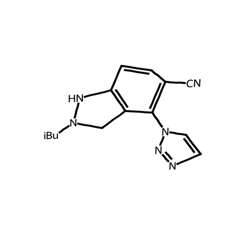 CCC(C)N1Cc2c(ccc(C#N)c2-n2ccnn2)N1